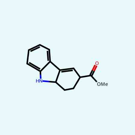 COC(=O)C1C=C2c3ccccc3NC2CC1